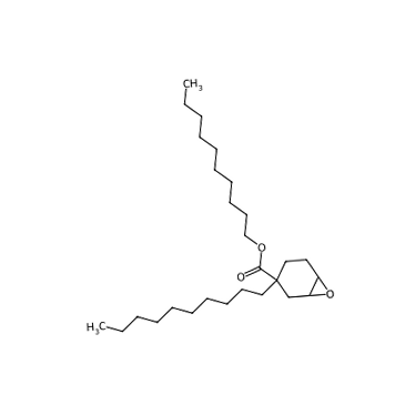 CCCCCCCCCCOC(=O)C1(CCCCCCCCCC)CCC2OC2C1